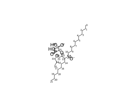 CCCCCCCCCCC[S+]([O-])C(CCCCCCCC)C(C)OC(C(=O)O)P(=O)(O)OCCC